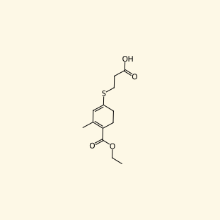 CCOC(=O)C1=C(C)C=C(SCCC(=O)O)CC1